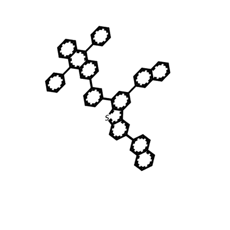 c1ccc(-c2c3ccccc3c(-c3ccccc3)c3cc(-c4cccc(-c5cc(-c6ccc7ccccc7c6)cc6c5sc5ccc(-c7ccc8ccccc8c7)cc56)c4)ccc23)cc1